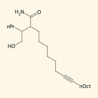 CCCCCCCCC#CCCCCCCC(C(N)=O)C(CO)CCC